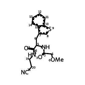 COCC(=O)NC(Cc1csc2ccccc12)C(=O)NCCC#N